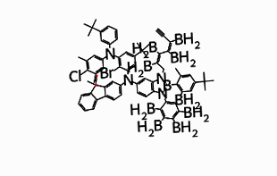 B/C(C#C)=C(B)/C(B)=C(/B)CN1B(c2c(C)cc(C(C)(C)C)cc2C)N(c2c(B)c(B)c(B)c(B)c2B)c2ccc(N(c3ccc4c(c3)C(C)(C)c3ccccc3-4)c3cc(C(C)(C)C)cc(N(c4cccc(C(C)(C)C)c4)c4cc(C)c(Cl)c(C)c4)c3Br)cc21